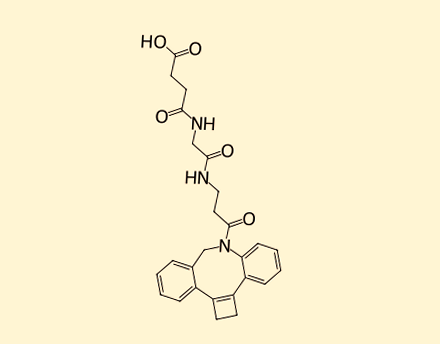 O=C(O)CCC(=O)NCC(=O)NCCC(=O)N1Cc2ccccc2C2=C(CC2)c2ccccc21